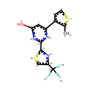 Cc1sccc1-c1cc(O)nc(-c2nc(C(F)(F)F)cs2)n1